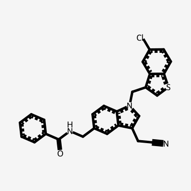 N#CCc1cn(Cc2csc3ccc(Cl)cc23)c2ccc(CNC(=O)c3ccccc3)cc12